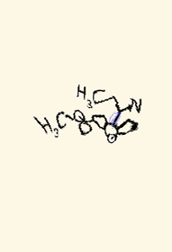 CCCOC(=O)c1ccc2c(c1)COc1ccccc1/C2=C(\C#N)CCC